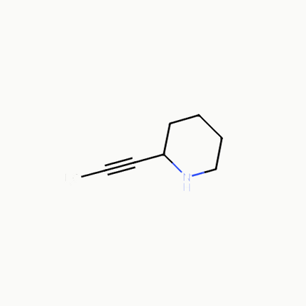 CC#CC1CCCCN1